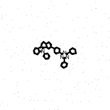 c1ccc(-c2nc(-c3ccccc3)nc(-c3ccc(-c4ccc5ccc6c7ccccc7n(-c7ccccc7)c6c5c4)cc3)n2)cc1